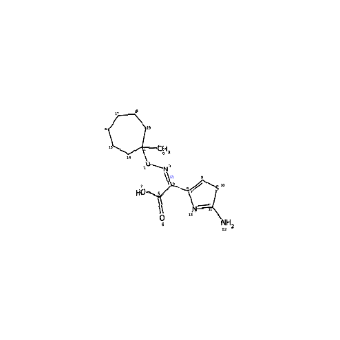 CC1(O/N=C(\C(=O)O)c2csc(N)n2)CCCCCC1